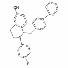 Oc1ccc2c(c1)CCN(c1ccc(F)cc1)C2Cc1ccc(-c2ccccc2)cc1